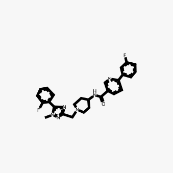 Cn1nc(CN2CCC(NC(=O)c3ccc(-c4cccc(F)c4)nc3)CC2)nc1-c1ccccc1F